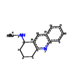 CCCCNC1CCCc2nc3ccccc3cc21